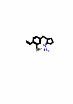 C=Cc1ccc(CC2CCCC2N)cc1CCC